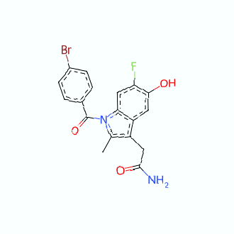 Cc1c(CC(N)=O)c2cc(O)c(F)cc2n1C(=O)c1ccc(Br)cc1